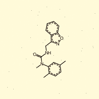 Cc1ccc(C)c(N(C)C(=O)NCc2noc3ccccc23)c1